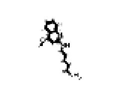 COc1cc(NCCCCCN)nc2ccccc12